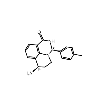 Cc1ccc([C@@H]2NC(=O)c3cccc4c3N2CC[C@H]4N)cc1